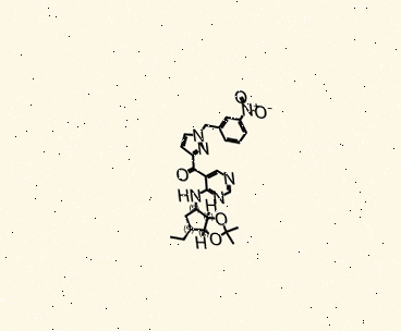 CC[C@H]1C[C@@H](Nc2ncncc2C(=O)c2ccn(Cc3cccc([N+](=O)[O-])c3)n2)[C@@H]2OC(C)(C)O[C@H]12